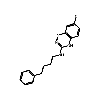 Clc1ccc2c(c1)SN=C(NCCCCc1ccccc1)N2